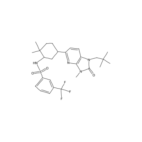 Cn1c(=O)n(CC(C)(C)C)c2ccc(C3CCC(C)(C)C(NS(=O)(=O)c4cccc(C(F)(F)F)c4)C3)nc21